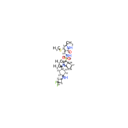 CSc1cc(C)[nH]c(=O)c1CNS(=O)(=O)c1c(C)n([C@H](C)C2CCC(NC3CC(F)(F)C3)CC2)c2ccccc12